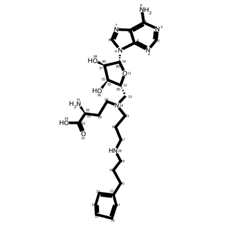 Nc1ncnc2c1ncn2[C@@H]1O[C@H](CN(CCCNCCCc2ccccc2)CC[C@H](N)C(=O)O)[C@@H](O)[C@H]1O